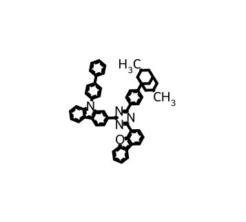 CC1CC2CC(C)CC(c3ccc(-c4nc(-c5ccc6c7ccccc7n(-c7ccc(-c8ccccc8)cc7)c6c5)nc(-c5cccc6c5oc5ccccc56)n4)cc3)(C1)C2